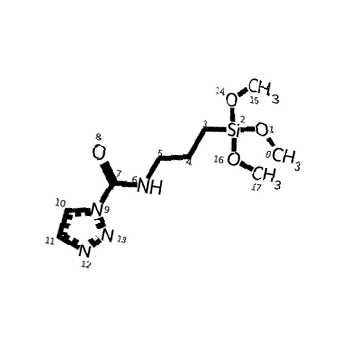 CO[Si](CCCNC(=O)n1ccnn1)(OC)OC